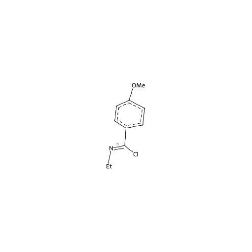 CC/N=C(\Cl)c1ccc(OC)cc1